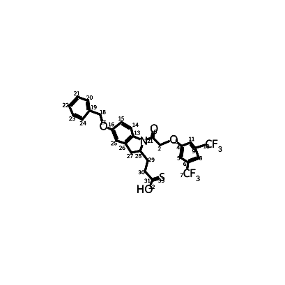 O=C(COc1cc(C(F)(F)F)cc(C(F)(F)F)c1)N1c2ccc(OCc3ccccc3)cc2CC1CCC(O)=S